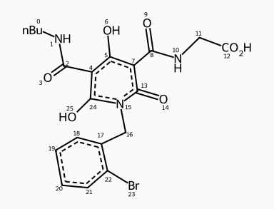 CCCCNC(=O)c1c(O)c(C(=O)NCC(=O)O)c(=O)n(Cc2ccccc2Br)c1O